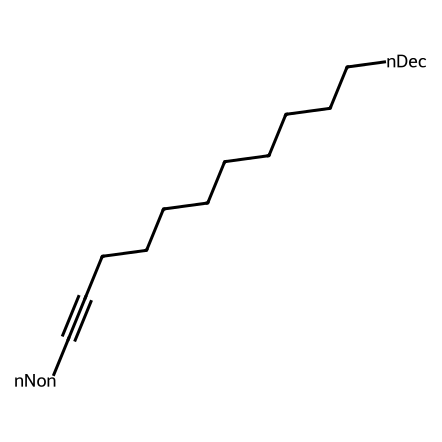 [CH2]CCCCCCCCC#CCCCCCCCCCCCCCCCCCC[CH2]